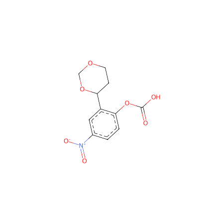 O=C(O)Oc1ccc([N+](=O)[O-])cc1C1CCOCO1